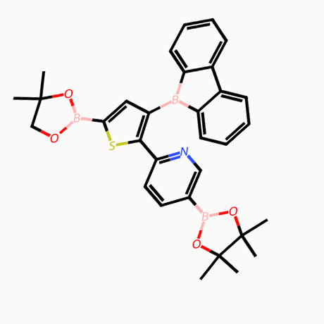 CC1(C)COB(c2cc(B3c4ccccc4-c4ccccc43)c(-c3ccc(B4OC(C)(C)C(C)(C)O4)cn3)s2)O1